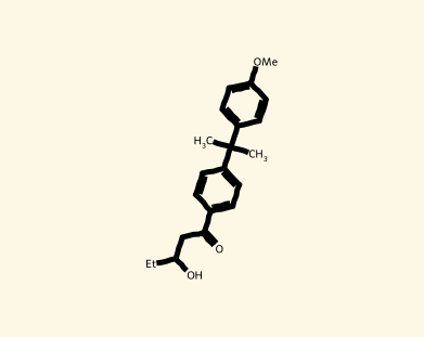 CCC(O)CC(=O)c1ccc(C(C)(C)c2ccc(OC)cc2)cc1